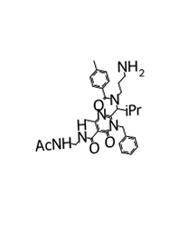 CC(=O)NCNC(=O)c1c(C)nc(C(C(C)C)N(CCCN)C(=O)c2ccc(C)cc2)n(Cc2ccccc2)c1=O